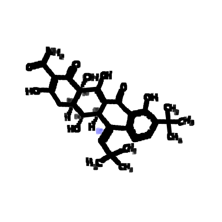 CC(C)(C)/C=C1\c2ccc(C(C)(C)C)c(O)c2C(=O)C2=C(O)[C@]3(O)C(=O)C(C(N)=O)=C(O)C[C@@H]3[C@@H](O)[C@@H]21